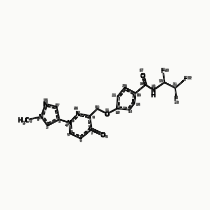 Cn1cc(-n2ccc(=O)c(COc3ccc(C(=O)NC(F)C(F)F)cc3)n2)cn1